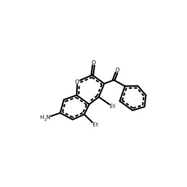 CCc1cc(N)cc2oc(=O)c(C(=O)c3ccccc3)c(CC)c12